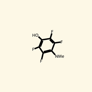 CNc1c(F)c(F)c(O)c(F)c1F